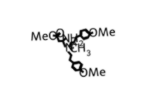 COC(=O)CC(N)C[N+](C)(CCCc1ccc(OC)cc1)CCCc1ccc(OC)cc1